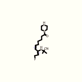 CC(C)(C#N)NC(/C=C\CCCCC(=O)N1CCNCC1)=C/CF